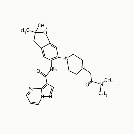 CN(C)C(=O)CN1CCN(c2cc3c(cc2NC(=O)c2cnn4cccnc24)CC(C)(C)O3)CC1